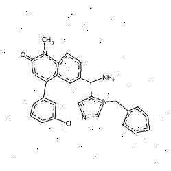 Cn1c(=O)cc(-c2cccc(Cl)c2)c2cc(C(N)c3cncn3Cc3ccccc3)ccc21